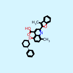 Cc1c(-c2cc(C(=O)O)c3c(O[C@H]4CCC[C@@H](c5ccccc5)C4)ccc(C)c3n2)oc2ccccc12